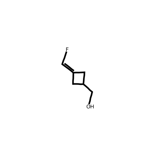 OCC1CC(=CF)C1